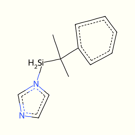 CC(C)([SiH2]n1ccnc1)c1ccccc1